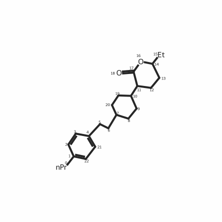 CCCc1ccc(CCC2CCC(C3CCC(CC)OC3=O)CC2)cc1